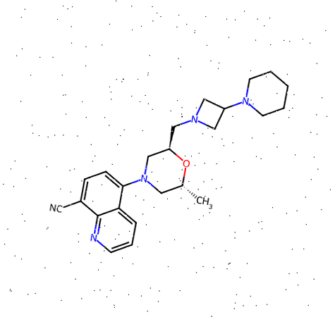 C[C@@H]1CN(c2ccc(C#N)c3ncccc23)C[C@@H](CN2CC(N3CCCCC3)C2)O1